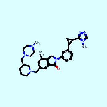 CN1CCN(CC2CCCN(Cc3cc4c(c(C(F)(F)F)c3)CN(c3cccc(C5CC5c5nncn5C)c3)C4=O)C2)CC1